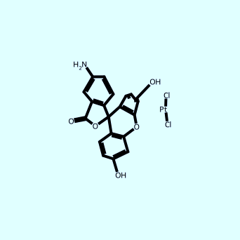 Nc1ccc2c(c1)C(=O)OC21c2ccc(O)cc2Oc2cc(O)ccc21.[Cl][Pt][Cl]